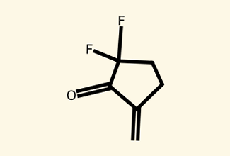 C=C1CCC(F)(F)C1=O